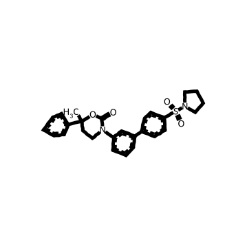 CC1(c2ccccc2)CCN(c2cccc(-c3ccc(S(=O)(=O)N4CCCC4)cc3)c2)C(=O)O1